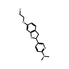 CN(C)c1ccc(C2Cc3ccc(OCCF)cc3S2)cn1